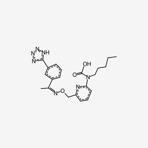 CCCCCN(C(=O)O)c1cccc(CON=C(C)c2cccc(-c3nnn[nH]3)c2)n1